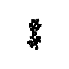 CC(F)(F)C(F)(F)COCC(F)(F)C(C)(F)F